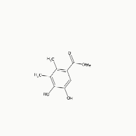 COC(=O)c1cc(O)c(O)c(C)c1C